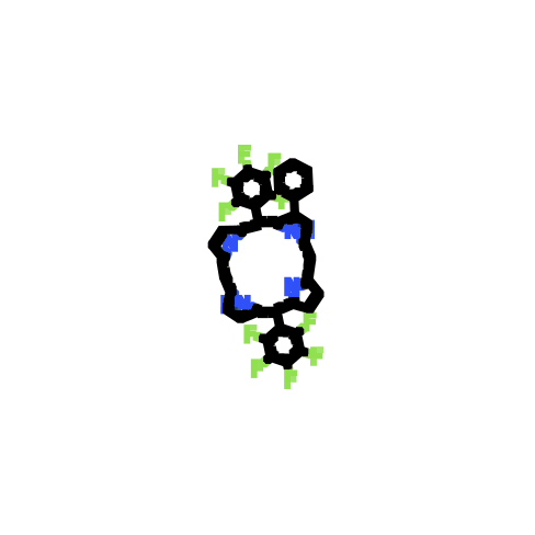 Fc1c(F)c(F)c(-c2c3nc(cc4cc(-c5ccccc5)c([nH]4)c(-c4c(F)c(F)c(F)c(F)c4F)c4nc(cc5ccc2[nH]5)C=C4)C=C3)c(F)c1F